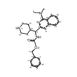 CN(C)c1nc(C(NC(=O)OCc2ccccc2)C2CCNCC2)nc2ccccc12